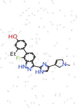 CCc1cc(O)ccc1-c1ccc2c(-c3nc(C4=CCN(C)C4)c[nH]3)n[nH]c2c1F